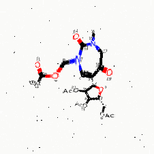 CC(=O)OC[C@H]1O[C@@H](C2=CN(COC(=O)C(C)(C)C)C(=O)N(C)CC2=O)C(OC(C)=O)C1OC(C)=O